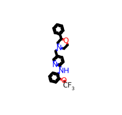 FC(F)(F)Oc1ccccc1Nc1ccc(CN2CCOC(c3ccccc3)C2)cn1